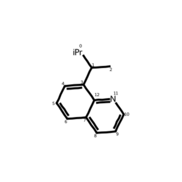 CC(C)C(C)c1cccc2cccnc12